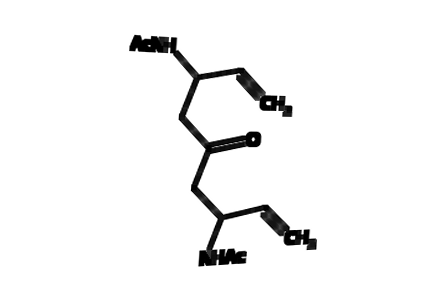 C=CC(CC(=O)CC(C=C)NC(C)=O)NC(C)=O